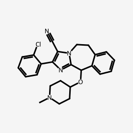 CN1CCC(OC2c3ccccc3CCn3c2nc(-c2ccccc2Cl)c3C#N)CC1